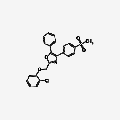 CS(=O)(=O)c1ccc(-c2nc(COc3ccccc3Cl)oc2-c2ccccc2)cc1